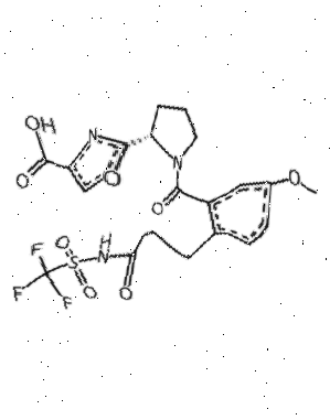 COc1ccc(CCC(=O)NS(=O)(=O)C(F)(F)F)c(C(=O)N2CCC[C@H]2c2nc(C(=O)O)co2)c1